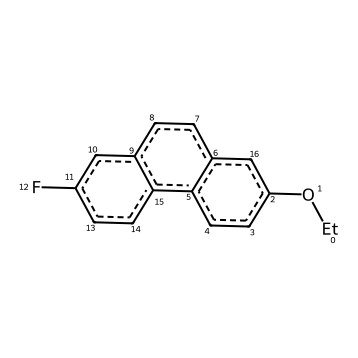 CCOc1ccc2c(ccc3cc(F)ccc32)c1